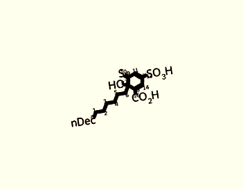 CCCCCCCCCCCCCCCCC1(O)C(=S)C=C(S(=O)(=O)O)C=C1C(=O)O